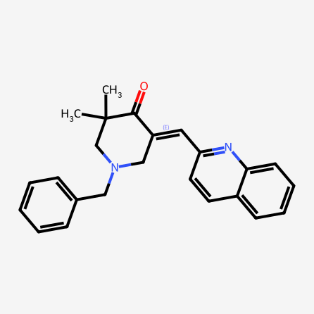 CC1(C)CN(Cc2ccccc2)C/C(=C\c2ccc3ccccc3n2)C1=O